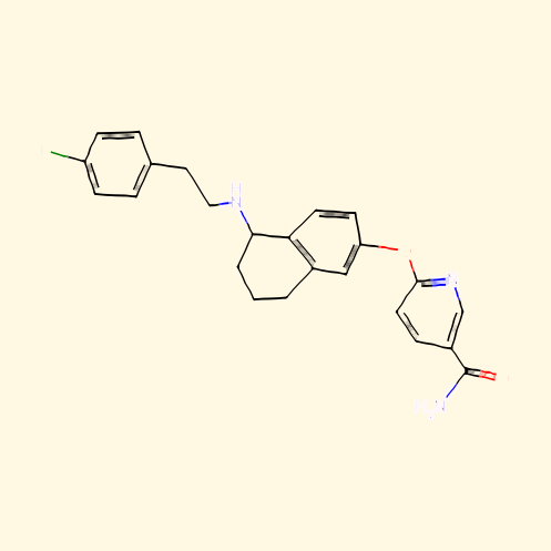 NC(=O)c1ccc(Oc2ccc3c(c2)CCCC3NCCc2ccc(F)cc2)nc1